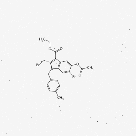 CCOC(=O)c1c(CBr)n(Cc2ccc(C)cc2)c2cc(Br)c(OC(C)=O)cc12